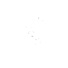 COc1ccc(-c2cc3c4c(c2)[C@@H]2CN(C(=O)O)CC[C@@H]2N4CC3)c(Cl)c1